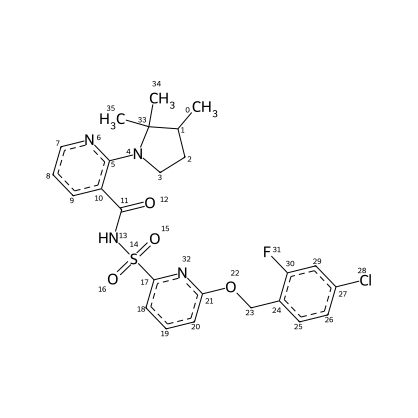 CC1CCN(c2ncccc2C(=O)NS(=O)(=O)c2cccc(OCc3ccc(Cl)cc3F)n2)C1(C)C